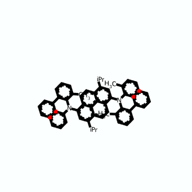 Cc1ccccc1N(c1c(C)cccc1-c1ccccc1)c1cc(C(C)C)c2ccc3c(N(c4ccccc4)c4c(C)cccc4-c4ccccc4)cc(C(C)C)c4ccc1c2c43